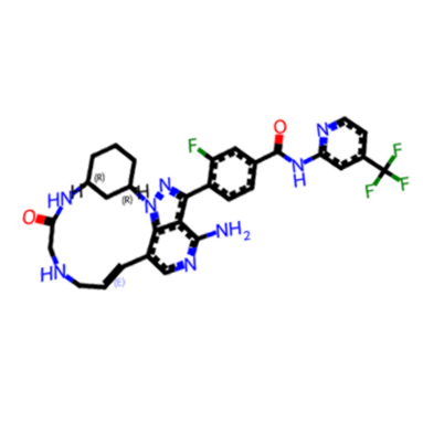 Nc1ncc2c3c1c(-c1ccc(C(=O)Nc4cc(C(F)(F)F)ccn4)cc1F)nn3[C@@H]1CCC[C@H](C1)NC(=O)CNC/C=C/2